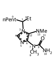 CCCCCC(CC)n1cnc(N(C)C(N)=O)c1NC